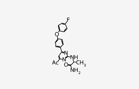 CC(=O)c1cc(-c2ccc(Oc3ccc(F)cc3)cc2)nc(N[C@@H](C)C(N)=O)n1